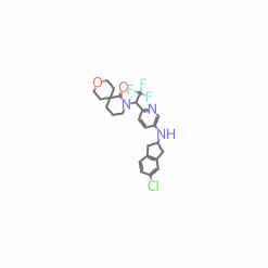 O=C1N(C(c2ccc(NC3Cc4ccc(Cl)cc4C3)cn2)C(F)(F)F)CCCC12CCOCC2